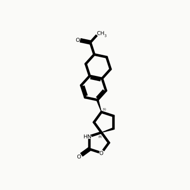 CC(=O)C1CCc2cc([C@H]3CC[C@]4(COC(=O)N4)C3)ccc2C1